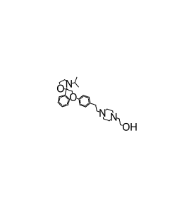 CC(C)N1CCOC1(COc1ccc(CCN2CCN(CCO)CC2)cc1)c1ccccc1